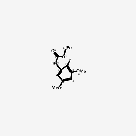 COc1cc(NC(=O)OC(C)(C)C)c(C)c(OC)c1